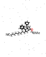 C=C(c1ccccc1)C12CCC(OCOC)C1CC(CCCCCCCCCC#N)=C2c1ccccc1